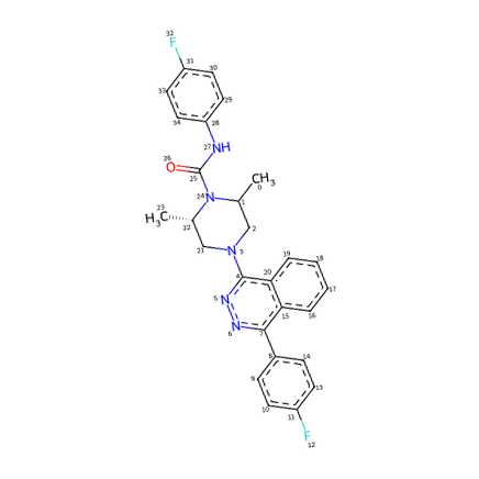 CC1CN(c2nnc(-c3ccc(F)cc3)c3ccccc23)C[C@H](C)N1C(=O)Nc1ccc(F)cc1